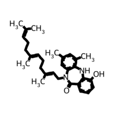 CC(C)=CCC/C(C)=C/CC/C(C)=C/CN1C(=O)c2cccc(O)c2Nc2c(C)cc(C)cc21